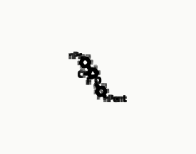 CCCCCC1CCC(COc2ccc(C3CCC(CCC)CC3)c(Cl)c2F)CC1